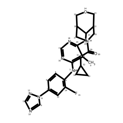 Cc1c(Nc2ccc(-n3cncn3)cc2F)ncnc1OC1C2COCC1CN(C(=O)OC1CC1)C2